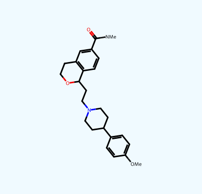 CNC(=O)c1ccc2c(c1)CCOC2CCN1CCC(c2ccc(OC)cc2)CC1